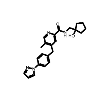 Cc1cnc(C(=O)NCC2(O)CCCC2)cc1Cc1ccc(-n2cccn2)cc1